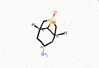 N[C@@H]1C[C@@H]2C[S+]([O-])C[C@H](C1)C2O